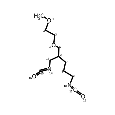 COCCOCC(CCCN=C=O)CN=C=O